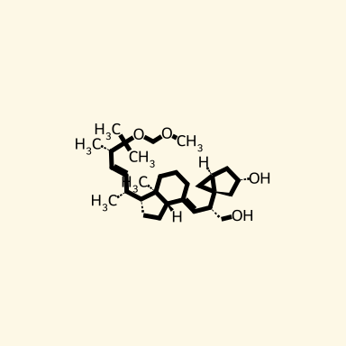 COCOC(C)(C)[C@@H](C)/C=C/[C@@H](C)[C@H]1CC[C@H]2/C(=C/[C@@H](CO)[C@@]34C[C@@H](O)C[C@@H]3C4)CCC[C@]12C